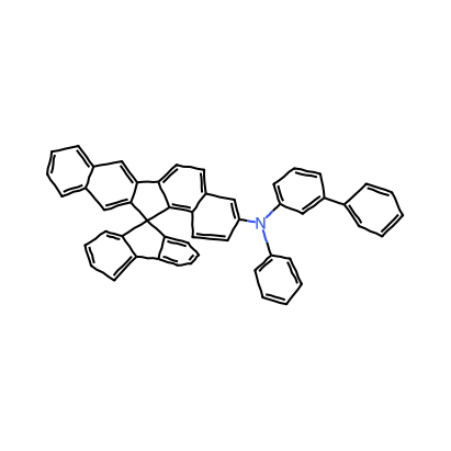 c1ccc(-c2cccc(N(c3ccccc3)c3ccc4c5c(ccc4c3)-c3cc4ccccc4cc3C53c4ccccc4-c4ccccc43)c2)cc1